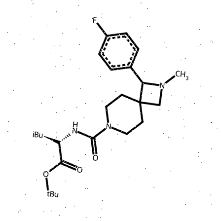 CC[C@H](C)[C@H](NC(=O)N1CCC2(CC1)CN(C)C2c1ccc(F)cc1)C(=O)OC(C)(C)C